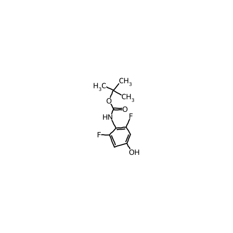 CC(C)(C)OC(=O)Nc1c(F)cc(O)cc1F